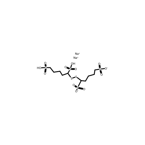 O=S(=O)([O-])CCCCC(SSC(CCCCS(=O)(=O)O)S(=O)(=O)O)S(=O)(=O)[O-].[Na+].[Na+]